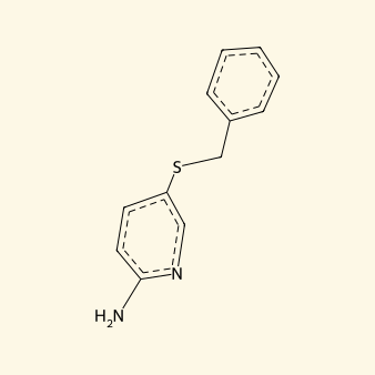 Nc1ccc(SCc2ccccc2)cn1